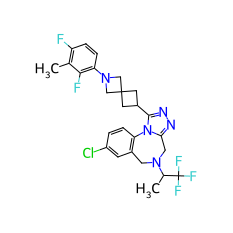 Cc1c(F)ccc(N2CC3(CC(c4nnc5n4-c4ccc(Cl)cc4CN(C(C)C(F)(F)F)C5)C3)C2)c1F